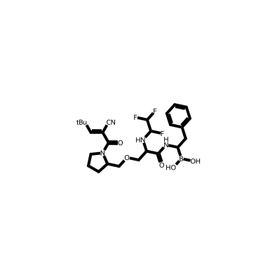 CC(C)(C)C=C(C#N)C(=O)N1CCCC1COCC(NC(F)C(F)F)C(=O)NC(Cc1ccccc1)B(O)O